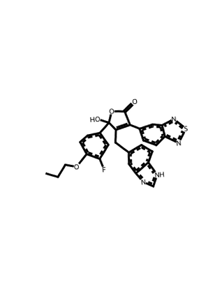 CCCOc1ccc(C2(O)OC(=O)C(c3ccc4nsnc4c3)=C2Cc2ccc3[nH]cnc3c2)cc1F